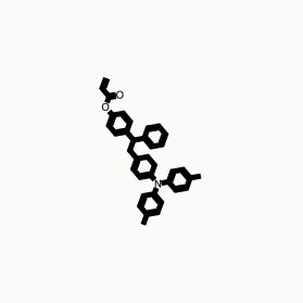 C=CC(=O)Oc1ccc(C(CC2=CC=C(N(c3ccc(C)cc3)c3ccc(C)cc3)CC2)c2ccccc2)cc1